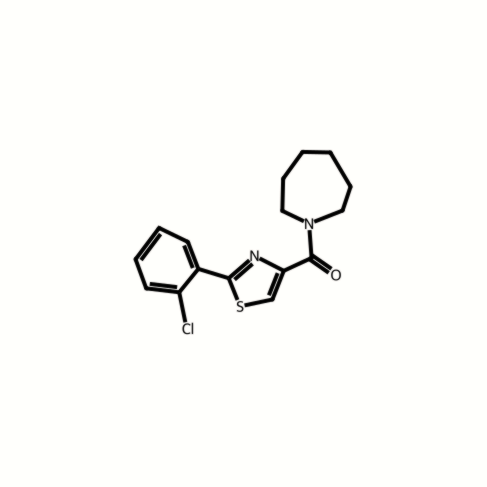 O=C(c1csc(-c2ccccc2Cl)n1)N1CCCCCC1